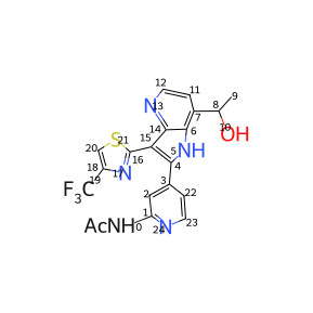 CC(=O)Nc1cc(-c2[nH]c3c(C(C)O)ccnc3c2-c2nc(C(F)(F)F)cs2)ccn1